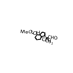 C=C(C=O)[C@@H]1CC[C@H]2[C@H](OCOC)CCC[C@@]12C